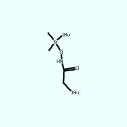 CC(C)(C)CC(=O)NO[Si](C)(C)C(C)(C)C